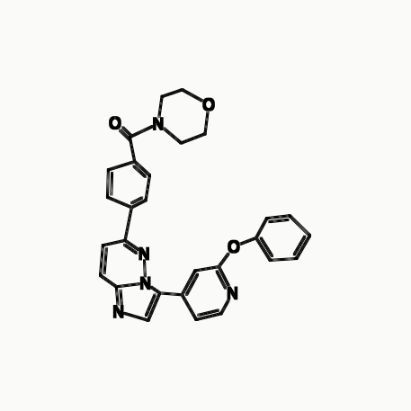 O=C(c1ccc(-c2ccc3ncc(-c4ccnc(Oc5ccccc5)c4)n3n2)cc1)N1CCOCC1